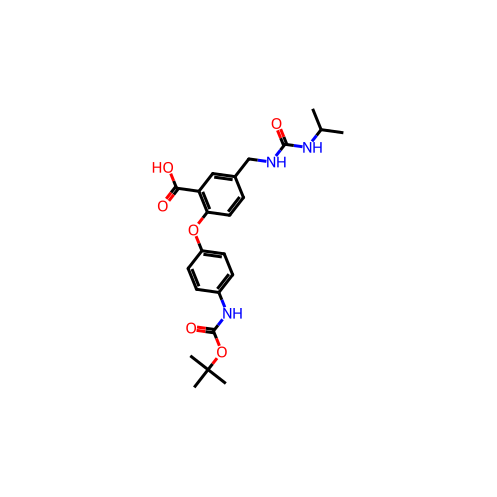 CC(C)NC(=O)NCc1ccc(Oc2ccc(NC(=O)OC(C)(C)C)cc2)c(C(=O)O)c1